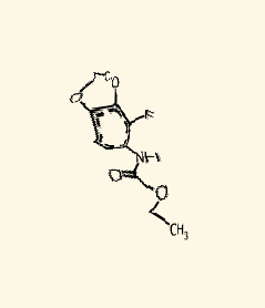 CCOC(=O)Nc1ccc2c(c1F)OCCO2